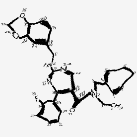 CCN(CC1=CCCC=C1)C(=O)c1cnc(NCc2ccc3c(c2)OCO3)nc1-c1ccccc1F